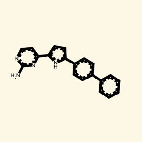 Nc1nccc(-c2ccc(-c3ccc(-c4ccccc4)cc3)[nH]2)n1